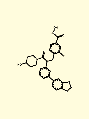 O=C(NO)c1ccc(CN(C(=O)N2CCC(O)CC2)c2cccc(-c3ccc4c(c3)OCO4)c2)c(F)c1